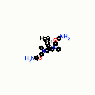 CCCCCCC1(CCCCCC)c2cc(N(c3ccccc3)c3ccc(Oc4ccc(N)cc4)cc3)ccc2-c2ccc(N(c3ccccc3)c3ccc(Oc4ccc(N)cc4)cc3)cc21